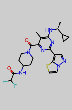 Cc1c(N[C@@H](C)C2CC2)nc(-c2cnn3ccsc23)nc1C(=O)N1CCC(NC(=O)C(F)F)CC1